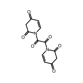 O=C1C=CN(C(=O)C(=O)N2C=CC(=O)CC2=O)C(=O)C1